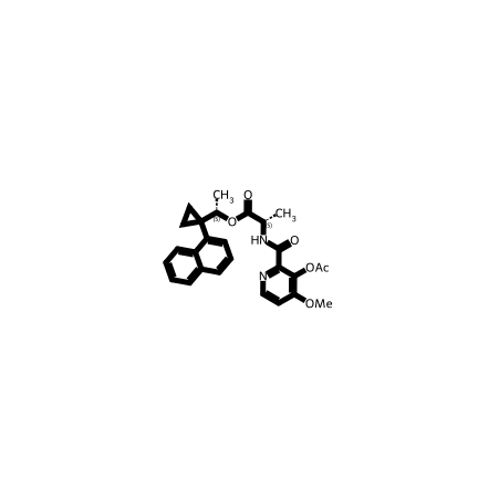 COc1ccnc(C(=O)N[C@@H](C)C(=O)O[C@@H](C)C2(c3cccc4ccccc34)CC2)c1OC(C)=O